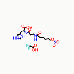 O=C(CCCCCO[N+](=O)[O-])NCCC(=O)N[C@@H](Cc1c[nH]cn1)C(=O)O.O=C(O)C(F)(F)F